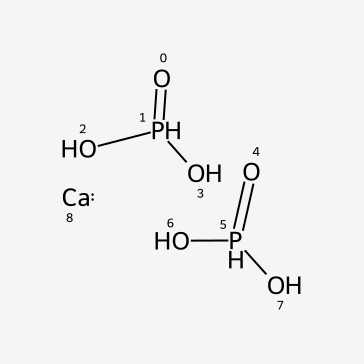 O=[PH](O)O.O=[PH](O)O.[Ca]